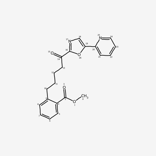 COC(=O)c1ccccc1CCCCC(=O)c1ncc(-c2ccccn2)o1